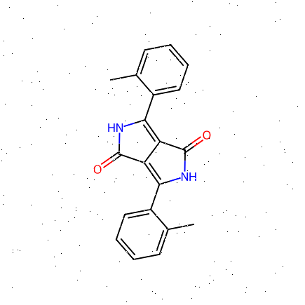 Cc1ccccc1C1=C2C(=O)NC(c3ccccc3C)=C2C(=O)N1